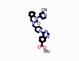 CC(C)(C)OC(=O)c1ccc2c(N3CCC(CN4Cc5ccccc5N(c5ccnc(C#N)c5)C4=O)CC3)ncnc2c1